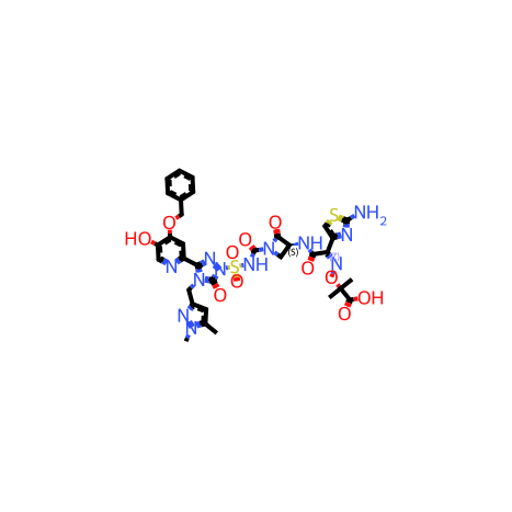 Cc1cc(Cn2c(-c3cc(OCc4ccccc4)c(O)cn3)nn(S(=O)(=O)NC(=O)N3C[C@H](NC(=O)/C(=N\OC(C)(C)C(=O)O)c4csc(N)n4)C3=O)c2=O)nn1C